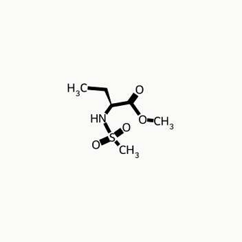 CC[C@H](NS(C)(=O)=O)C(=O)OC